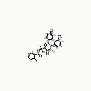 Cc1ccccc1C(=O)OC(C)(C)C(=O)N[C@@H](C)[C@@H](Cc1ccc(Cl)cc1)c1cccc(C#N)c1